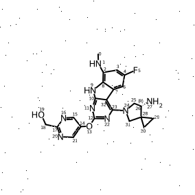 CNc1cc(F)cc2c1[nH]c1nc(Oc3cnc(CO)nc3)nc(N3C[C@H](N)C4(CC4)C3)c12